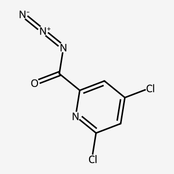 [N-]=[N+]=NC(=O)c1cc(Cl)cc(Cl)n1